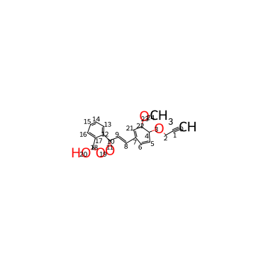 C#CCOC1C=CC(/C=C/C(=O)c2ccccc2C(=O)O)=CC1OC